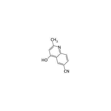 Cc1cc(O)c2cc(C#N)ccc2n1